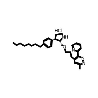 CCCCCCCCc1ccc([C@H]2CCN[C@@H]2COCCCc2cc(C)nnc2-c2ccccn2)cc1.Cl